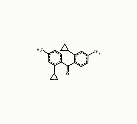 Cc1ccc(C(=O)c2ccc(C)cc2C2CC2)c(C2CC2)c1